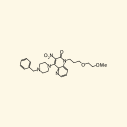 COCCOCCCn1c(=O)c([N+](=O)[O-])c(N2CCN(Cc3ccccc3)CC2)c2ncccc21